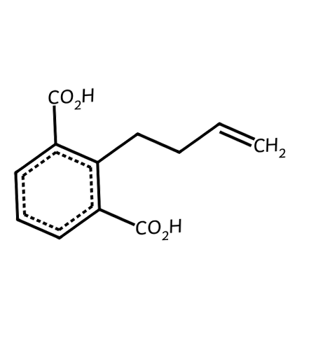 C=CCCc1c(C(=O)O)cccc1C(=O)O